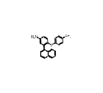 Nc1ccc(Sc2ccc(N)cc2-c2cccc3ccccc23)cc1